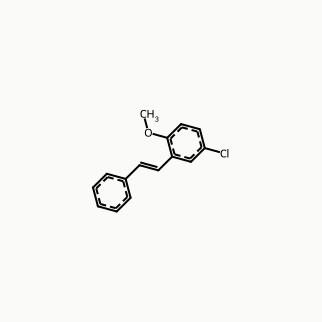 COc1ccc(Cl)cc1C=Cc1ccccc1